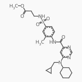 COC(=O)CCNS(=O)(=O)c1ccc(NC(=O)c2cc(N(CC3CC3)C3CCCCC3)ncn2)c(C)c1